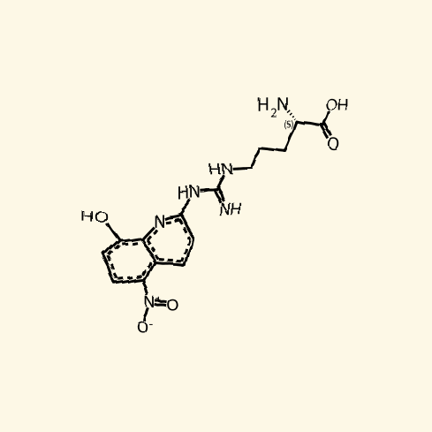 N=C(NCCC[C@H](N)C(=O)O)Nc1ccc2c([N+](=O)[O-])ccc(O)c2n1